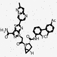 CC(=O)c1ccc(Cl)c(-c2cccc(NC(=O)[C@@H]3C[C@H]4CC4N3C(=O)Cn3nc(C(N)=O)c4sc(-c5cnc6cc(C)nn6c5)nc43)c2F)c1